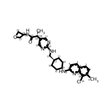 Cc1ccc2ccc(N[C@H]3CC[C@H](CNc4ncc([C@@H](C)C(=O)NC5COC5)cn4)CC3)nc2c1Cl